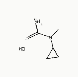 CN(C(N)=O)C1CC1.Cl